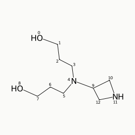 OCCCN(CCCO)C1CNC1